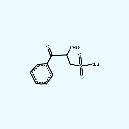 CC(C)(C)S(=O)(=O)CC([C]=O)C(=O)c1ccccc1